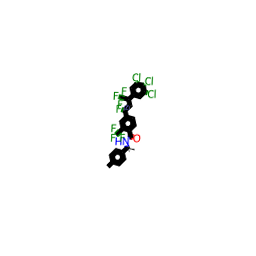 Cc1ccc([C@@H](C)NC(=O)c2ccc(/C(F)=C/C(c3cc(Cl)c(Cl)c(Cl)c3)C(F)(F)F)cc2C(F)(F)F)cc1